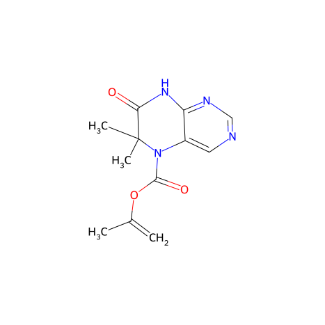 C=C(C)OC(=O)N1c2cncnc2NC(=O)C1(C)C